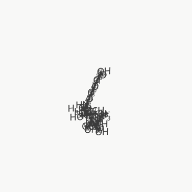 CC(C)[C@H](NC(=O)C(CCC(=O)O)NC(=O)C(CC(=O)O)NC(=O)CN=[N+]=[N-])C(=O)NC(CC(=O)O)C(=O)N[C@@H](C)C(=O)NCCOCCOCCOCCOCCC(=O)O